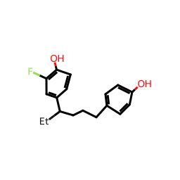 CCC(CCCc1ccc(O)cc1)c1ccc(O)c(F)c1